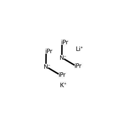 CC(C)[N-]C(C)C.CC(C)[N-]C(C)C.[K+].[Li+]